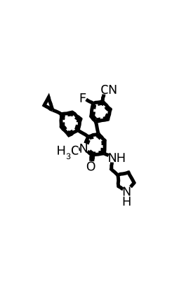 Cn1c(-c2ccc(C3CC3)cc2)c(-c2ccc(C#N)c(F)c2)cc(NCC2CCNC2)c1=O